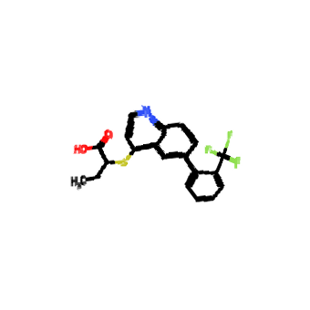 CCC(Sc1ccnc2ccc(-c3ccccc3C(F)(F)F)cc12)C(=O)O